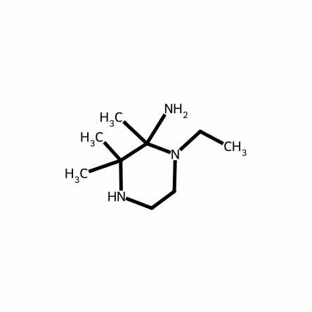 CCN1CCNC(C)(C)C1(C)N